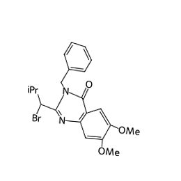 COc1cc2nc(C(Br)C(C)C)n(Cc3ccccc3)c(=O)c2cc1OC